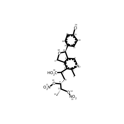 Cc1ncc2c(c1C(C[C@@H](O[N+](=O)[O-])[C@@H](C)O[N+](=O)[O-])C(=O)O)CO[C@H]2c1ccc(Cl)cc1